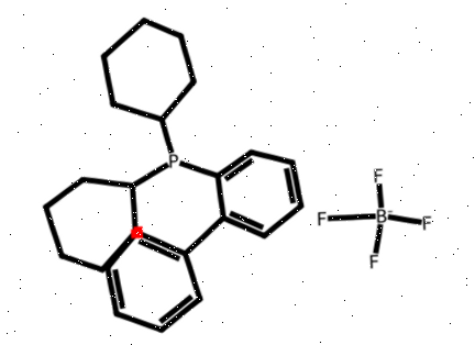 F[B-](F)(F)F.c1ccc(-c2ccccc2P(C2CCCCC2)C2CCCCC2)cc1